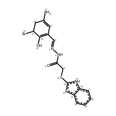 BC1=CC(/C=N/NC(=O)CSc2nc3ccccc3[nH]2)=C(O)C(Br)C1